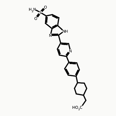 NS(=O)(=O)c1ccc2[nH]c(-c3ccc(-c4ccc(C5CCC(CC(=O)O)CC5)cc4)nc3)nc2c1